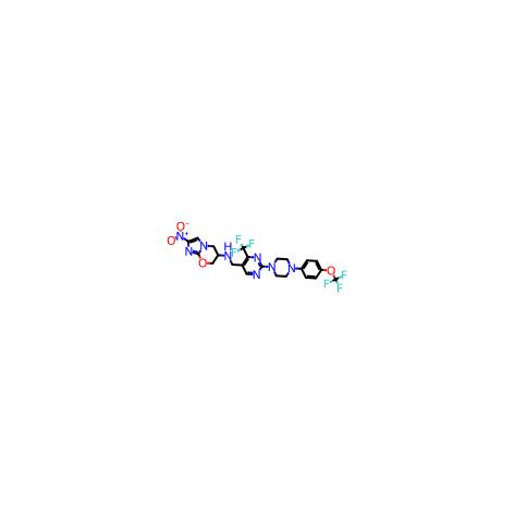 O=[N+]([O-])c1cn2c(n1)OCC(NCc1cnc(N3CCN(c4ccc(OC(F)(F)F)cc4)CC3)nc1C(F)(F)F)C2